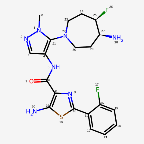 Cn1ncc(NC(=O)c2nc(-c3ccccc3F)sc2N)c1N1CC[C@@H](F)[C@@H](N)CC1